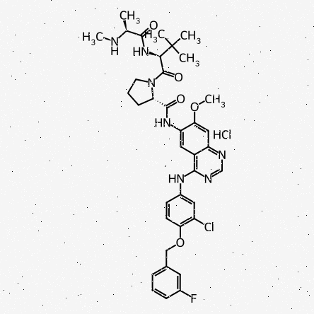 CN[C@@H](C)C(=O)N[C@H](C(=O)N1CCC[C@H]1C(=O)Nc1cc2c(Nc3ccc(OCc4cccc(F)c4)c(Cl)c3)ncnc2cc1OC)C(C)(C)C.Cl